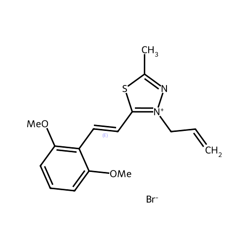 C=CC[n+]1nc(C)sc1/C=C/c1c(OC)cccc1OC.[Br-]